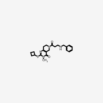 Cn1c(SC2CCC2)nc2c(c1=O)CN(C(=O)CCNCc1ccccc1)CC2